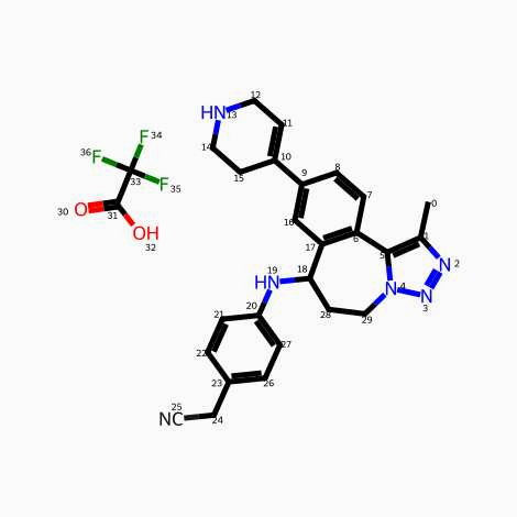 Cc1nnn2c1-c1ccc(C3=CCNCC3)cc1C(Nc1ccc(CC#N)cc1)CC2.O=C(O)C(F)(F)F